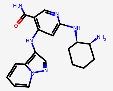 NC(=O)c1cnc(N[C@@H]2CCCC[C@@H]2N)cc1Nc1cnn2ccccc12